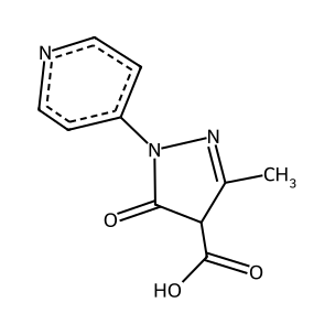 CC1=NN(c2ccncc2)C(=O)C1C(=O)O